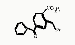 CC(C)Cc1cc(C(=O)c2ccccc2)ccc1C(=O)O